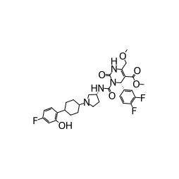 COCC1=C(C(=O)OC)[C@H](c2ccc(F)c(F)c2)N(C(=O)N[C@@H]2CCN(C3CCC(c4ccc(F)cc4O)CC3)C2)C(=O)N1